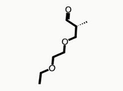 CCOCCOC[C@@H](C)C=O